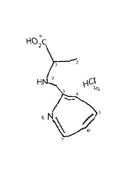 CC(Nc1ccccn1)C(=O)O.Cl